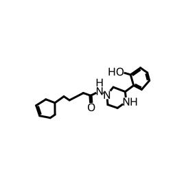 O=C(CCCC1CC=CCC1)NN1CCNC(c2ccccc2O)C1